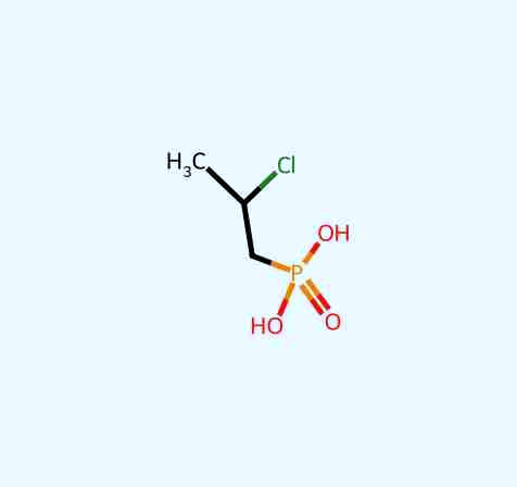 CC(Cl)CP(=O)(O)O